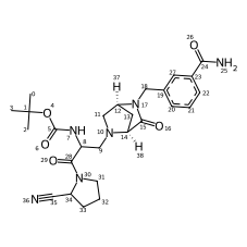 CC(C)(C)OC(=O)NC(CN1C[C@@H]2C[C@H]1C(=O)N2Cc1cccc(C(N)=O)c1)C(=O)N1CCCC1C#N